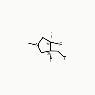 CN1C[C@](F)(CF)[C@](C)(F)C1